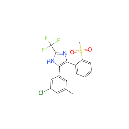 Cc1cc(Cl)cc(-c2[nH]c(C(F)(F)F)nc2-c2ccccc2S(C)(=O)=O)c1